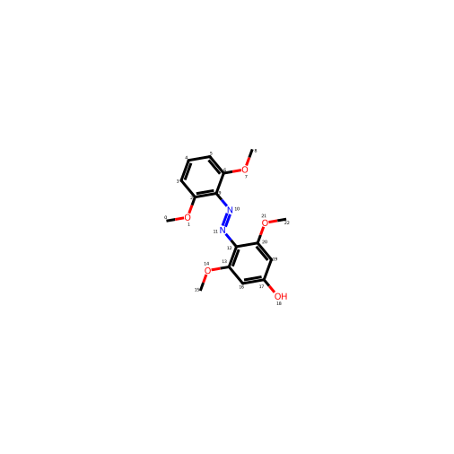 COc1cccc(OC)c1N=Nc1c(OC)cc(O)cc1OC